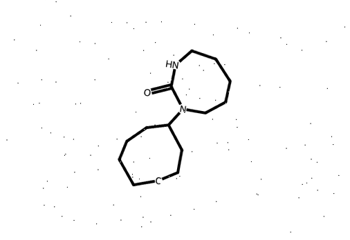 O=C1NCCCCCN1C1CCCCCCC1